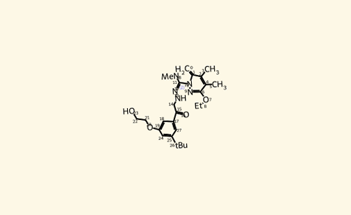 C=C1C(C)=C(C)C(OCC)=NN1/C(=N\NCC(=O)c1cc(OCCO)cc(C(C)(C)C)c1)NC